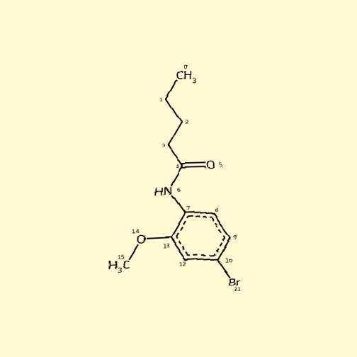 CCCCC(=O)Nc1ccc(Br)cc1OC